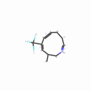 CC1/C=C(C(F)(F)F)\C=C/CC/C=N\C1